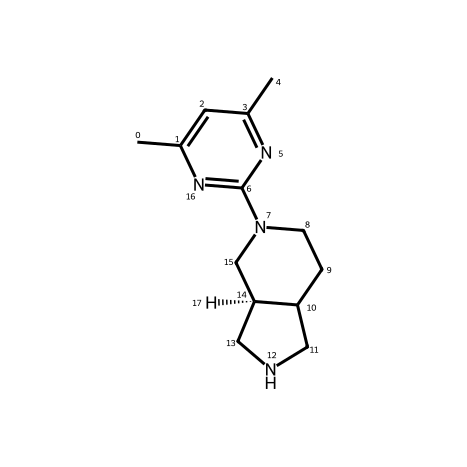 Cc1cc(C)nc(N2CCC3CNC[C@H]3C2)n1